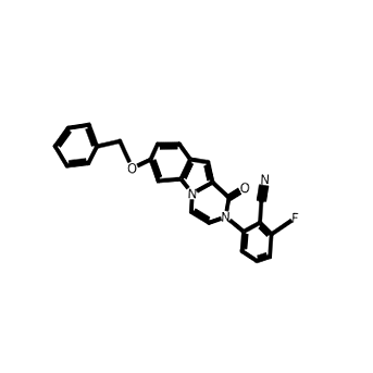 N#Cc1c(F)cccc1-n1ccn2c(cc3ccc(OCc4ccccc4)cc32)c1=O